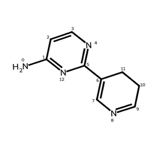 Nc1ccnc(C2=CN=CCC2)n1